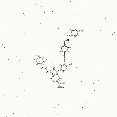 CNC(=O)N1CCc2c(c(-c3ccc(Cl)c(C#Cc4ccc(CNCc5ccc(Cl)cc5)cc4)c3)nn2CCCN2CCOCC2)C1